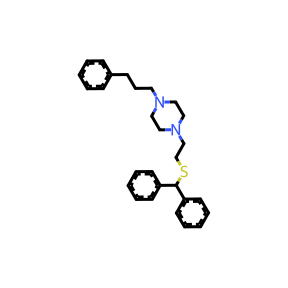 c1ccc(CCCN2CCN(CCSC(c3ccccc3)c3ccccc3)CC2)cc1